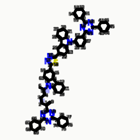 C=C(/C=C\C=C(/C)n1c2ccccc2c2cc(-c3nnc(-c4ccc5c(c4)c4ccccc4n5-c4cccc(-c5nc(-c6ccccc6)nc(-c6ccccc6)n5)c4)s3)ccc21)c1nc(-c2ccccc2)nc(-c2ccccc2)n1